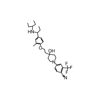 CCC(CC)NC(CC)c1ccc(OCCC2(O)CCN(c3ccc(C#N)c(C(F)(F)F)c3)CC2)c(C)c1